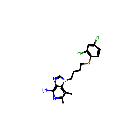 Cc1nc(N)c2ncn(CCCCSc3ccc(Cl)cc3Cl)c2c1C